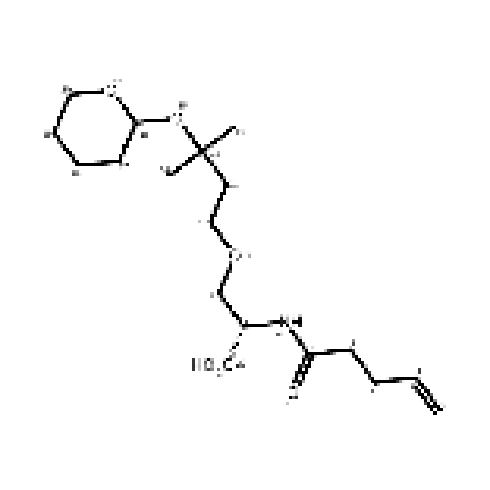 C=CCCC(=O)N[C@@H](COCCC(C)(C)OC1CCCCO1)C(=O)O